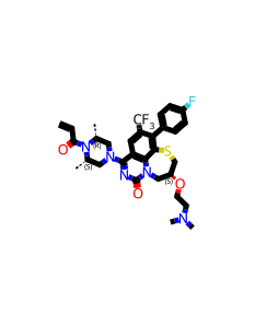 C=CC(=O)N1[C@H](C)CN(c2nc(=O)n3c4c(c(-c5ccc(F)cc5)c(C(F)(F)F)cc24)SC[C@@H](OCCN(C)C)C3)C[C@@H]1C